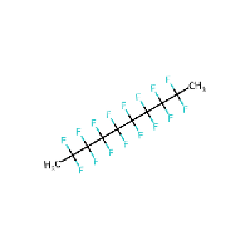 CC(F)(F)C(F)(F)C(F)(F)C(F)(F)C(F)(F)C(F)(F)C(F)(F)C(C)(F)F